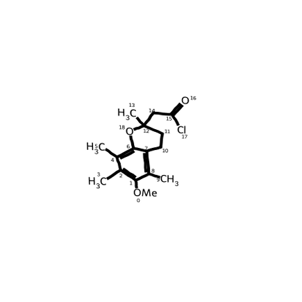 COc1c(C)c(C)c2c(c1C)CCC(C)(CC(=O)Cl)O2